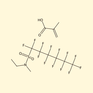 C=C(C)C(=O)O.CCN(C)S(=O)(=O)C(F)(F)C(F)(F)C(F)(F)C(F)(F)C(F)(F)C(F)(F)F